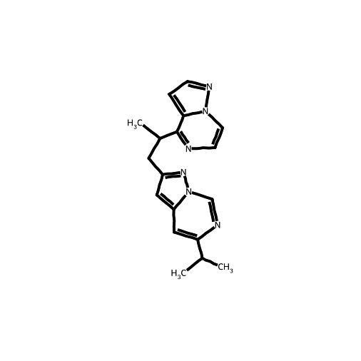 CC(C)c1cc2cc(CC(C)c3nccn4nccc34)nn2cn1